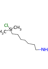 C[Si](C)(Cl)CCCCCCCN